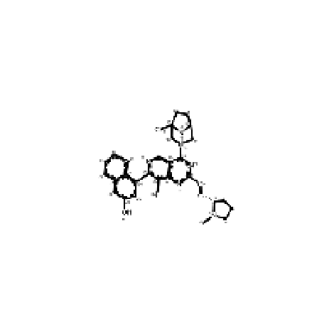 CN1CCC[C@H]1COc1nc(N2CC3CCC(Cl)(C2)N3)c2cnc(-c3cc(O)cc4ccccc34)c(F)c2n1